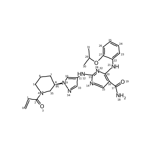 C=CC(=O)N1CCC[C@@H](n2cc(Nc3ncc(C(N)=O)c(Nc4ccccc4OC(C)C)n3)cn2)C1